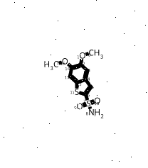 COc1cc2cc(S(N)(=O)=O)sc2cc1OC